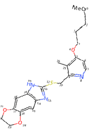 COCCCOc1ccnc(CSc2nc3cc4c(cc3[nH]2)OCCO4)c1C